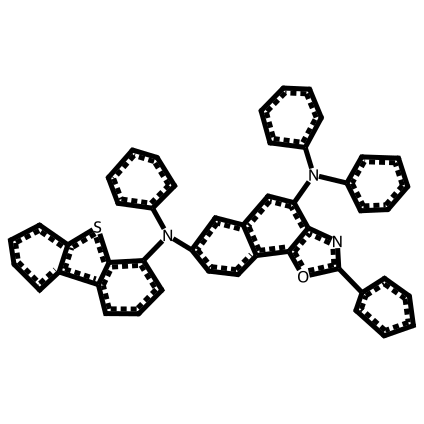 c1ccc(-c2nc3c(N(c4ccccc4)c4ccccc4)cc4cc(N(c5ccccc5)c5cccc6c5sc5ccccc56)ccc4c3o2)cc1